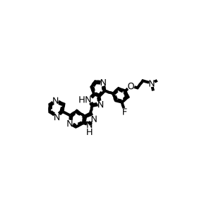 CN(C)CCOc1cc(F)cc(-c2nccc3[nH]c(-c4n[nH]c5cnc(-c6cnccn6)cc45)nc23)c1